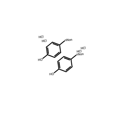 CCCCCCCCCc1ccc(O)cc1.CCCCCCCCCc1ccc(O)cc1.Cl.Cl.Cl.Cl